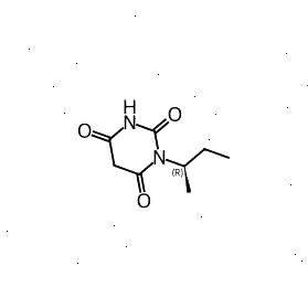 CC[C@@H](C)N1C(=O)CC(=O)NC1=O